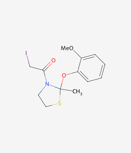 COc1ccccc1OC1(C)SCCN1C(=O)CI